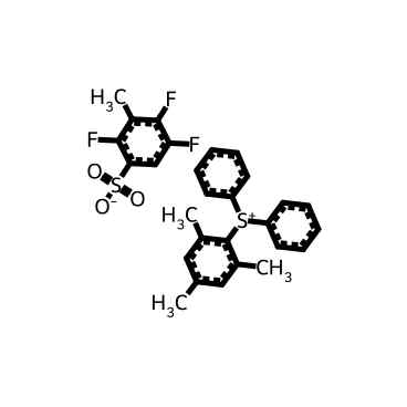 Cc1c(F)c(F)cc(S(=O)(=O)[O-])c1F.Cc1cc(C)c([S+](c2ccccc2)c2ccccc2)c(C)c1